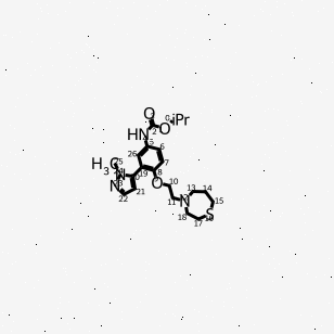 CC(C)OC(=O)Nc1ccc(OCCN2CCCSCC2)c(-c2ccnn2C)c1